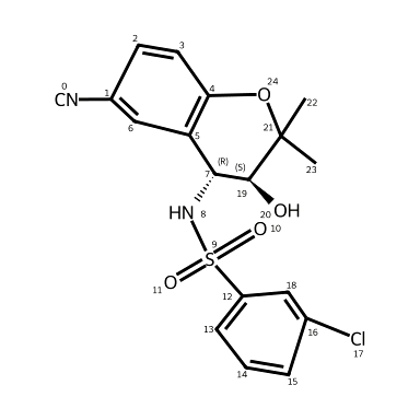 [C-]#[N+]c1ccc2c(c1)[C@@H](NS(=O)(=O)c1cccc(Cl)c1)[C@H](O)C(C)(C)O2